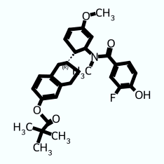 COC1=CC(N(C)C(=O)c2ccc(O)c(F)c2)C([C@@H]2CCc3cc(OC(=O)C(C)(C)C)ccc3C2)C=C1